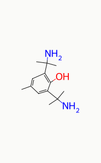 Cc1cc(C(C)(C)N)c(O)c(C(C)(C)N)c1